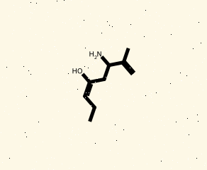 C=C(C)C(N)C/C(O)=C\CC